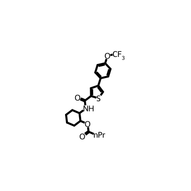 CCCC(=O)OC1CCCCC1NC(=O)c1cc(-c2ccc(OC(F)(F)F)cc2)cs1